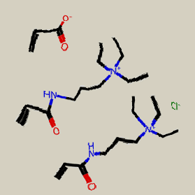 C=CC(=O)NCCC[N+](CC)(CC)CC.C=CC(=O)NCCC[N+](CC)(CC)CC.C=CC(=O)[O-].[Cl-]